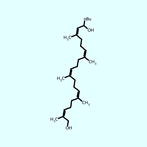 CCCCC(O)C=C(C)CCC=C(C)CCC=C(C)CCC=C(C)CCC=C(C)CO